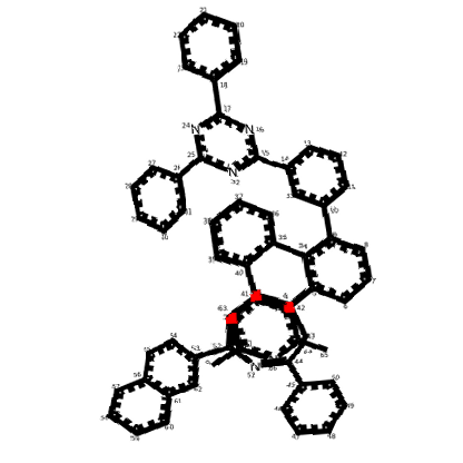 Cc1ccc(-c2cccc(-c3cccc(-c4nc(-c5ccccc5)nc(-c5ccccc5)n4)c3)c2-c2ccccc2C2=CCC(c3ccccc3)=NC(c3ccc4ccccc4c3)=C2)c(C)n1